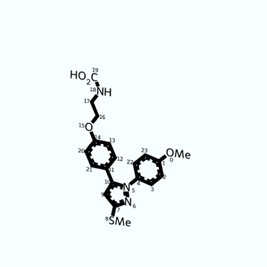 COc1ccc(-n2nc(SC)cc2-c2ccc(OCCNC(=O)O)cc2)cc1